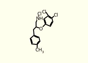 Cc1ccc(CC(CNCl)Oc2ccc(Cl)c(Cl)c2)cc1